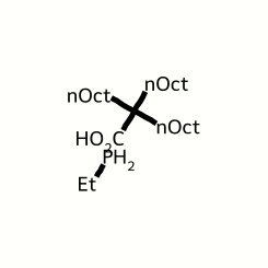 CCCCCCCCC(CCCCCCCC)(CCCCCCCC)C(=O)O.CCP